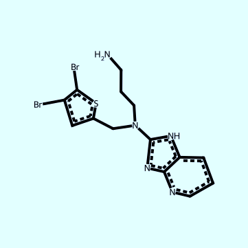 NCCCN(Cc1cc(Br)c(Br)s1)c1nc2ncccc2[nH]1